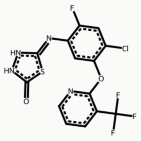 O=c1[nH][nH]/c(=N/c2cc(Oc3ncccc3C(F)(F)F)c(Cl)cc2F)s1